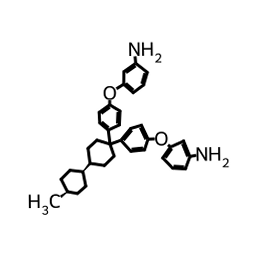 C[C@H]1CC[C@@H](C2CCC(c3ccc(Oc4cccc(N)c4)cc3)(c3ccc(Oc4cccc(N)c4)cc3)CC2)CC1